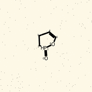 O=[PH]1CCC=CO1